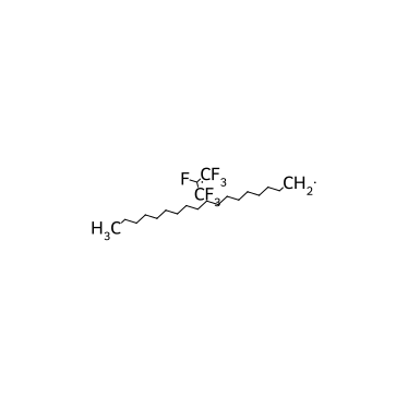 F[C](C(F)(F)F)C(F)(F)F.[CH2]CCCCCCCCCCCCCCCCC